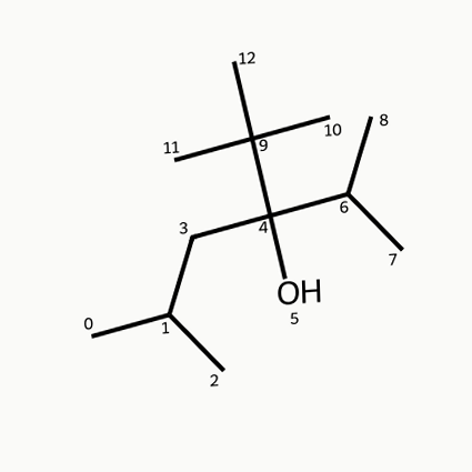 CC(C)CC(O)(C(C)C)C(C)(C)C